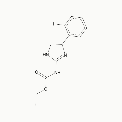 CCOC(=O)NC1=NC(c2ccccc2I)CN1